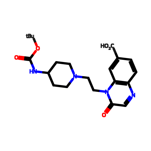 CC(C)(C)OC(=O)NC1CCN(CCn2c(=O)cnc3ccc(C(=O)O)cc32)CC1